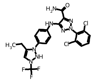 CCC1=CN(C(F)(F)F)NN1c1ccc(Nc2nn(-c3c(Cl)cccc3Cl)nc2C(N)=O)cc1